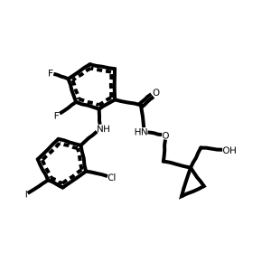 O=C(NOCC1(CO)CC1)c1ccc(F)c(F)c1Nc1ccc(I)cc1Cl